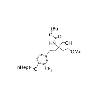 CCCCCCCOc1ccc(CCC(CO)(CCOC)NC(=O)OC(C)(C)C)cc1C(F)(F)F